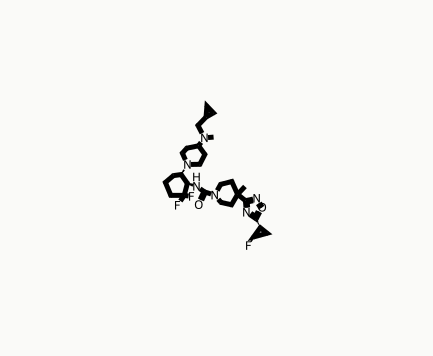 CN(CC1CC1)C1CCN([C@H]2CCCC(F)(F)[C@@H]2NC(=O)N2CCC(C)(c3noc([C@@H]4C[C@@H]4F)n3)CC2)CC1